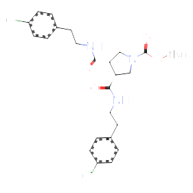 CC(C)(C)OC(=O)N1C[C@@H](C(=O)NCCc2ccc(Cl)cc2)[C@H](C(=O)NCCc2ccc(Cl)cc2)C1